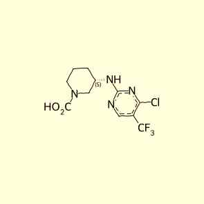 O=C(O)N1CCC[C@H](Nc2ncc(C(F)(F)F)c(Cl)n2)C1